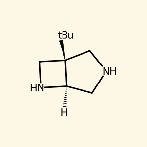 CC(C)(C)[C@@]12CNC[C@H]1NC2